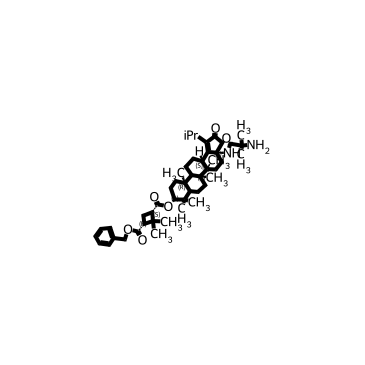 CC(C)C1=C2[C@H]3CCC4[C@@]5(C)CC[C@H](OC(=O)[C@H]6C[C@@H](C(=O)OCc7ccccc7)C6(C)C)C(C)(C)C5CC[C@@]4(C)[C@]3(C)CC[C@@]2(NC(=O)C(C)(C)N)CC1=O